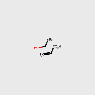 C=CC(=O)O.CCCCCO